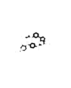 C=CC(=O)Nc1cccc(C2=CCC3(C)C2=NC(Nc2ccc(NC4CCN(C)CC4F)cc2)=N[C@@H]3C)c1